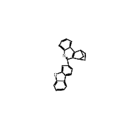 c1ccc2c3c(c(-c4ccc5c(c4)oc4ccccc45)nc2c1)C1CCC3C1